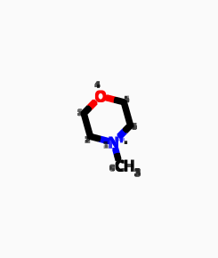 C[N+]1CCOCC1